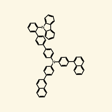 c1ccc(-n2c3ccccc3c3ccccc32)c(-c2ccc(-c3ccc(N(c4ccc(-c5ccc6ccccc6c5)cc4)c4ccc(-c5cccc6ccccc56)cc4)cc3)cc2)c1